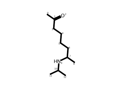 CC(=O)CCCCC(C)NC(C)C